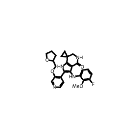 COc1c(F)cccc1Nc1c(-c2ccncc2OCC2CCCO2)[nH]c2c1C(=O)NCC21CC1